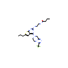 CCCC(=O)NCCNc1nc(N2CCn3c(nnc3C(F)(F)F)C2)c2cc(CCC)sc2n1